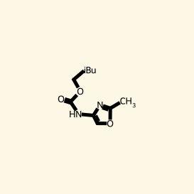 CCC(C)COC(=O)Nc1coc(C)n1